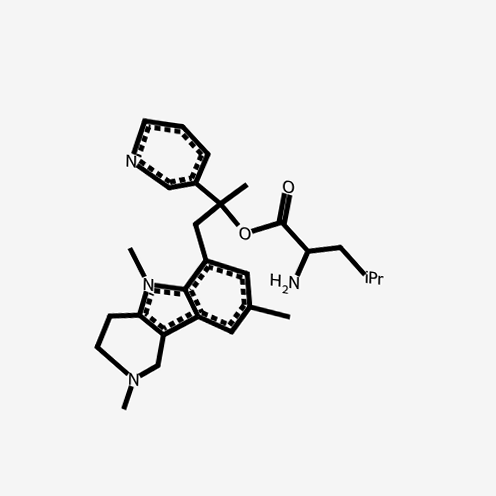 Cc1cc(CC(C)(OC(=O)C(N)CC(C)C)c2cccnc2)c2c(c1)c1c(n2C)CCN(C)C1